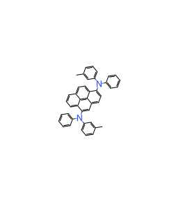 Cc1cccc(N(c2ccccc2)c2cc3ccc(N(c4ccccc4)c4cccc(C)c4)c4ccc5cccc2c5c34)c1